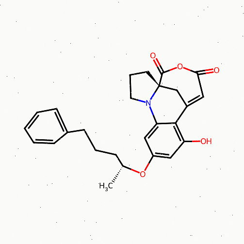 C[C@H](CCCc1ccccc1)Oc1cc(O)c2c(c1)N1CCC[C@@]13CC2=CC(=O)OC3=O